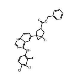 O=C(OCc1ccccc1)N1C[C@@H]2C[C@]2(c2ccc3ncnc(Nc4ccc(Cl)c(Cl)c4F)c3c2)C1